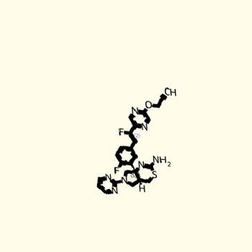 C#CCOc1cnc(/C(F)=C/c2ccc(F)c([C@]34CN(c5ncccn5)C[C@H]3CSC(N)=N4)c2)cn1